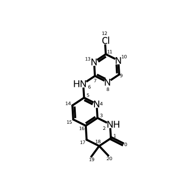 C=C1Nc2nc(Nc3ncnc(Cl)n3)ccc2CC1(C)C